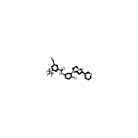 N#Cc1cc(C(=O)Nc2ccc(Cl)c(-n3ccn4nc(-c5cccnc5)cc34)c2)cc(S(F)(F)(F)(F)F)c1